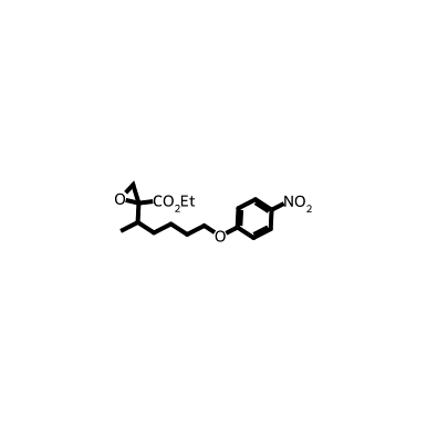 CCOC(=O)C1(C(C)CCCCOc2ccc([N+](=O)[O-])cc2)CO1